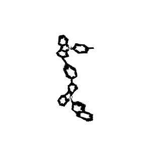 Cc1ccc(-n2c3ccccc3c3ccc(-c4ccc(-c5ccc6c(c5)c5ccccc5n6-c5ccc6ccccc6c5)cc4)cc32)cc1